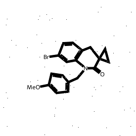 COc1ccc(CN2C(=O)C3(CC3)Cc3ccc(Br)cc32)cc1